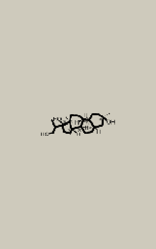 CC(CO)[C@@]1(O)CC[C@H]2[C@@H]3CC[C@@H]4C[C@](C)(O)CC[C@@H]4[C@H]3CC[C@@]21C